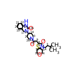 CC(C)CCN1C(=O)C(CC(=O)N2CCC(N3Cc4ccccc4NC3=O)CC2)SC12CCOCC2